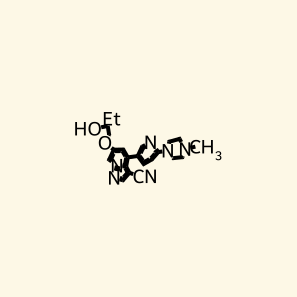 CCC(O)COc1cc(-c2ccc(N3CCN(C)CC3)nc2)c2c(C#N)cnn2c1